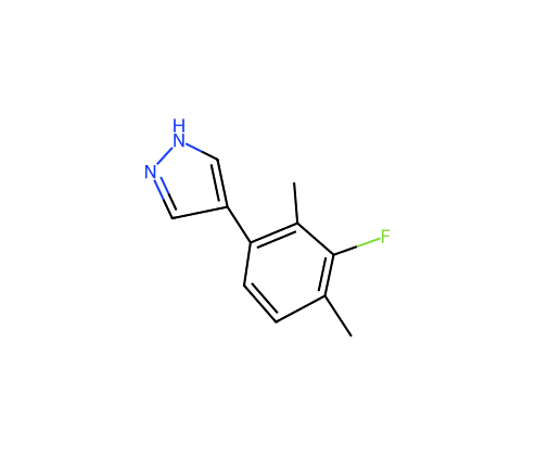 Cc1ccc(-c2cn[nH]c2)c(C)c1F